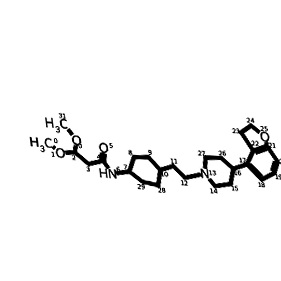 COC(CC(=O)NC1CCC(CCN2CCC(c3cccc4c3CCO4)CC2)CC1)OC